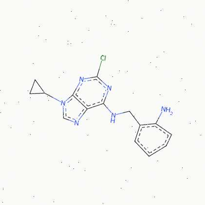 Nc1ccccc1CNc1nc(Cl)nc2c1ncn2C1CC1